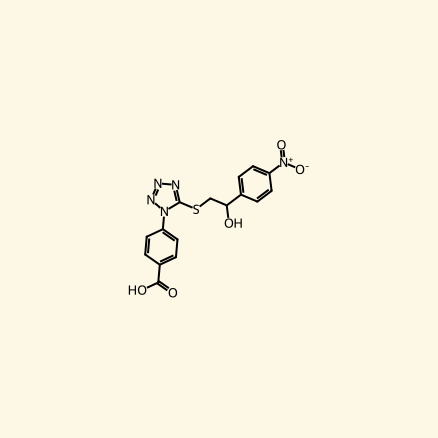 O=C(O)c1ccc(-n2nnnc2SCC(O)c2ccc([N+](=O)[O-])cc2)cc1